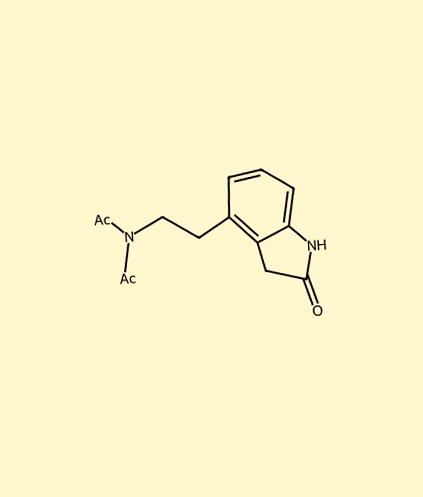 CC(=O)N(CCc1cccc2c1CC(=O)N2)C(C)=O